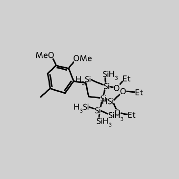 CCO[SiH](OCC)[Si](CCc1cc(C)cc(OC)c1OC)([Si]([SiH3])([SiH3])[SiH3])[Si]([SiH3])([SiH3])OCC